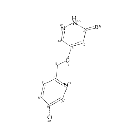 O=c1cc(OCc2ccc(Cl)cn2)cn[nH]1